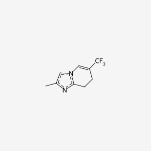 Cc1cn2c(n1)CCC(C(F)(F)F)=C2